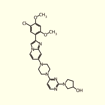 COc1cc(OC)c(-c2cn3ccc(N4CCN(c5ccnc(N6CCC(O)C6)n5)CC4)cc3n2)cc1Cl